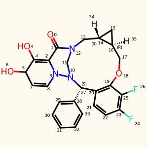 O=C1C2=C(O)C(O)C=CN2N2CN1C[C@@H]1C[C@H]1COc1c(ccc(F)c1F)[C@@H]2c1ccccc1